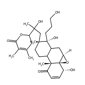 CC1=C(C)C(=O)OC(C(C)(O)C[C@@]2(C)CCC3C(C[C@H]4O[C@]45[C@H](O)C=CC(=O)[C@]35C)[C@]2(O)CCCO)C1